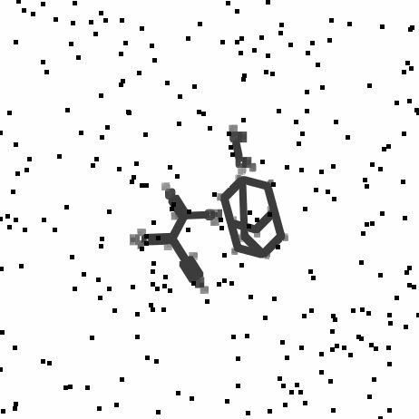 C1C2CC3CC1CC(C2)C3.C=C(C#N)C(=O)O.CO